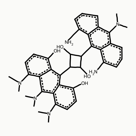 CN(C)c1c2cccc(N)c2c(C2C(O)C(c3c4c(O)ccc(N(C)C)c4c(N(C)C)c4c(N(C)C)ccc(O)c34)C2O)c2c(N)cccc12